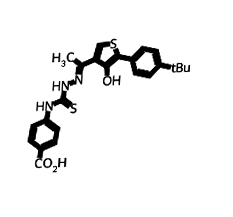 C/C(=N\NC(=S)Nc1ccc(C(=O)O)cc1)c1csc(-c2ccc(C(C)(C)C)cc2)c1O